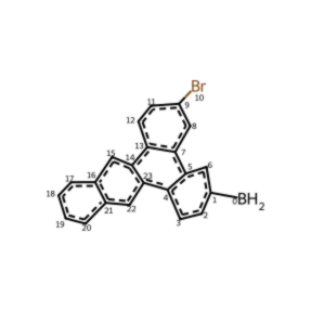 Bc1ccc2c(c1)c1cc(Br)ccc1c1cc3ccccc3cc21